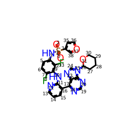 O=S(=O)(Nc1ccc(F)c(Nc2ncccc2-c2ncnc3c2ncn3C2CCCCO2)c1F)c1ccoc1